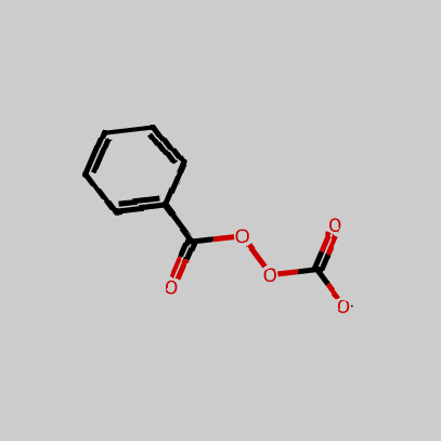 [O]C(=O)OOC(=O)c1ccccc1